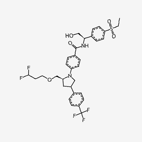 CCS(=O)(=O)c1ccc([C@H](CO)NC(=O)c2ccc(N3CC(c4ccc(C(F)(F)F)cc4)C[C@H]3COCCC(F)F)cc2)cc1